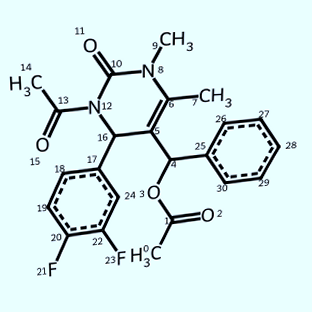 CC(=O)OC(C1=C(C)N(C)C(=O)N(C(C)=O)C1c1ccc(F)c(F)c1)c1ccccc1